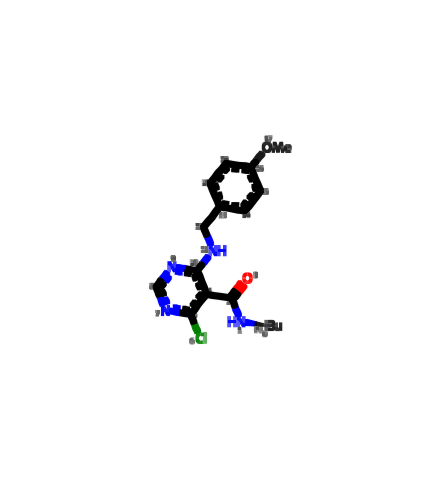 CC[C@H](C)NC(=O)c1c(Cl)ncnc1NCc1ccc(OC)cc1